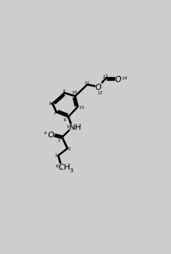 CCCC(=O)Nc1cccc(CO[C]=O)c1